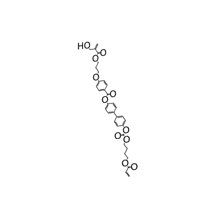 C=CC(=O)OCCCCOC(=O)Oc1ccc(-c2ccc(OC(=O)c3ccc(OCCCOC(=O)C(=C)CO)cc3)cc2)cc1